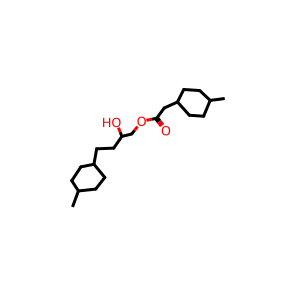 CC1CCC(CCC(O)COC(=O)CC2CCC(C)CC2)CC1